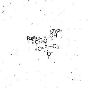 O=P([O-])([O-])OO.[Ba+2].[Cr+3].[Cu+2].[Zn+2]